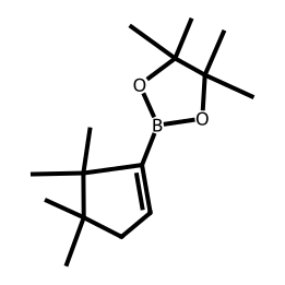 CC1(C)CC=C(B2OC(C)(C)C(C)(C)O2)C1(C)C